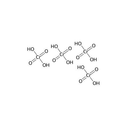 [O]=[Cr](=[O])([OH])[OH].[O]=[Cr](=[O])([OH])[OH].[O]=[Cr](=[O])([OH])[OH].[O]=[Cr](=[O])([OH])[OH]